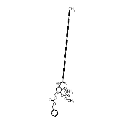 CC#CC#CC#CC#CC#CC#CC#CC#CC#CC#CC(=S)N[C@@H]1C[C@H](COC(=O)OCc2ccccc2)C(OP(O)(=S)OC)[C@@H]1OC